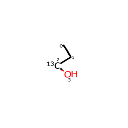 CC[13CH2]O